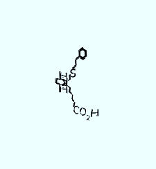 O=C(O)CCCCCC[C@H]1[C@H]2CC[C@H](C2)[C@H]1CCSCC=Cc1ccccc1